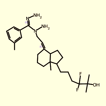 Cc1cccc(/C(=N/N)N(N)C/C=C2\CCCC3(C)C(CCCC(F)(F)C(C)(C)O)CCC23)c1